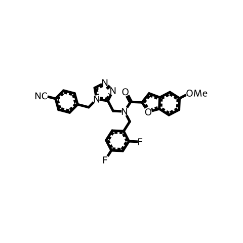 COc1ccc2oc(C(=O)N(Cc3ccc(F)cc3F)Cc3nncn3Cc3ccc(C#N)cc3)cc2c1